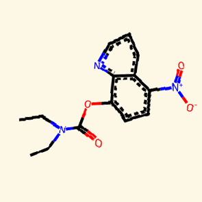 CCN(CC)C(=O)Oc1ccc([N+](=O)[O-])c2cccnc12